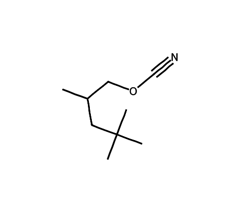 CC(COC#N)CC(C)(C)C